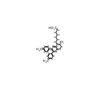 CC[C@H]1CCc2nc(-c3ccc(C)cc3)c(-c3ccc(C)cc3)nc2N1CCCCCCC(=O)O